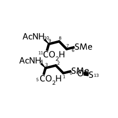 CSCC[C@H](NC(C)=O)C(=O)O.CSCC[C@H](NC(C)=O)C(=O)O.O=S